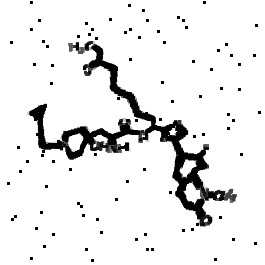 CCC(=O)CCCCC[C@H](NC(=O)C(=N)CC1(O)CCN(CC2CC2)CC1)c1ncc(-c2cc3ccc(=O)n(C)c3cc2F)o1